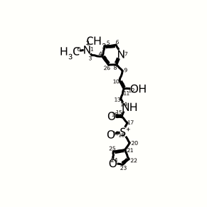 CN(C)Cc1ccnc(CC=C(O)CNC(=O)C[S+]([O-])Cc2ccoc2)c1